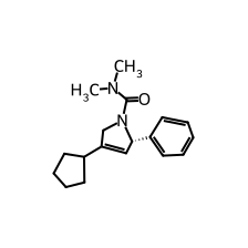 CN(C)C(=O)N1CC(C2CCCC2)=C[C@H]1c1ccccc1